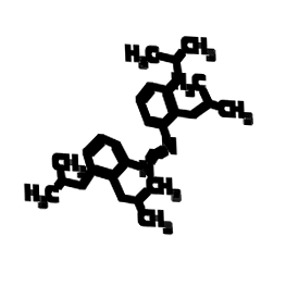 CC(C)Cc1cccc(N=C=Nc2cccc(CC(C)C)c2CC(C)C)c1CC(C)C